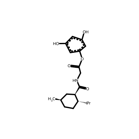 CC(C)[C@@H]1CC[C@@H](C)C[C@H]1C(=O)NCC(=O)Oc1cc(O)cc(O)c1